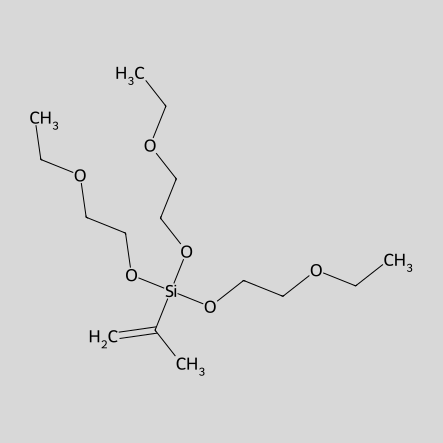 C=C(C)[Si](OCCOCC)(OCCOCC)OCCOCC